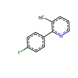 N#Cc1cccnc1-c1ccc(F)cc1